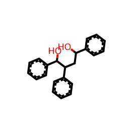 OC(CC(c1ccccc1)C(O)c1ccccc1)c1ccccc1